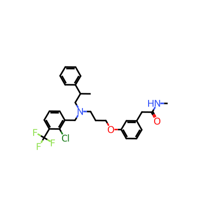 CNC(=O)Cc1cccc(OCCCN(Cc2cccc(C(F)(F)F)c2Cl)CC(C)c2ccccc2)c1